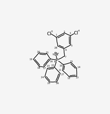 Clc1cc(Cl)cc(CP(Br)(c2ccccc2)(c2ccccc2)c2ccccc2)c1